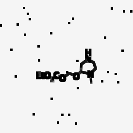 CCOC(=O)OCOC1CNCCN1C